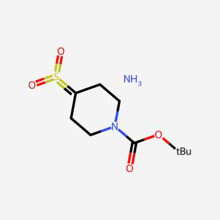 CC(C)(C)OC(=O)N1CCC(=S(=O)=O)CC1.N